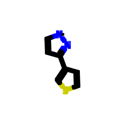 C1=CC(c2ccsc2)=N[N]1